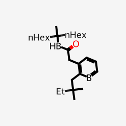 CCCCCCC(C)(BC(=O)Cc1cccbc1CC(C)(C)CC)CCCCCC